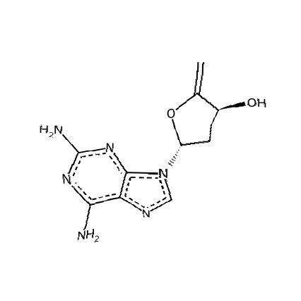 C=C1O[C@@H](n2cnc3c(N)nc(N)nc32)C[C@@H]1O